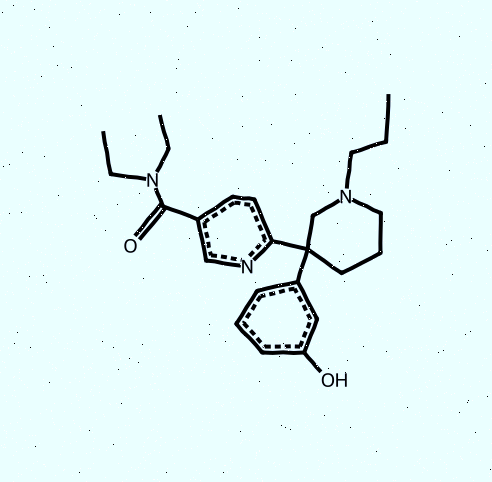 CCCN1CCCC(c2cccc(O)c2)(c2ccc(C(=O)N(CC)CC)cn2)C1